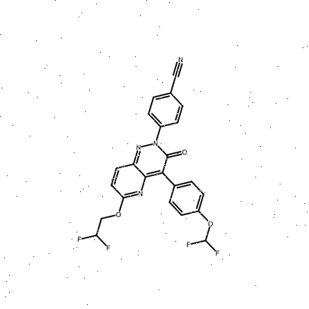 N#Cc1ccc(-n2nc3ccc(OCC(F)F)nc3c(-c3ccc(OC(F)F)cc3)c2=O)cc1